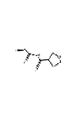 O=CC(=O)NC(=O)C1CCNC1